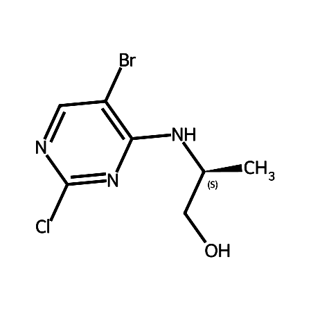 C[C@@H](CO)Nc1nc(Cl)ncc1Br